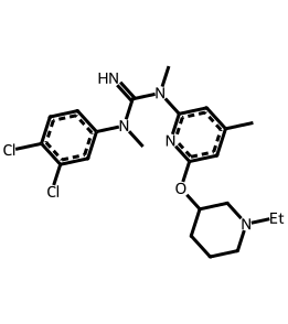 CCN1CCCC(Oc2cc(C)cc(N(C)C(=N)N(C)c3ccc(Cl)c(Cl)c3)n2)C1